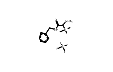 CC(=O)NC(C(=O)NCc1ccccc1)[N+](C)(C)C.F[B-](F)(F)F